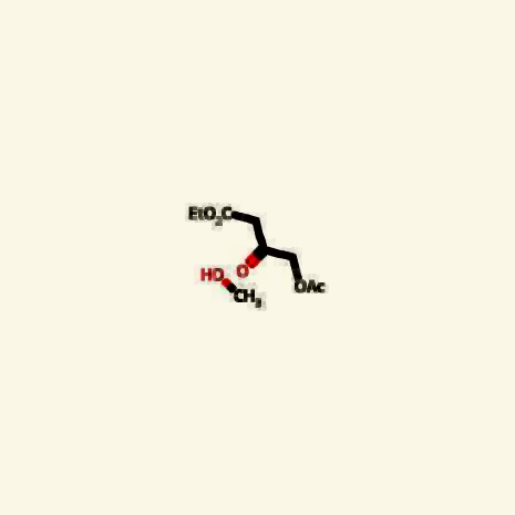 CCOC(=O)CC(=O)COC(C)=O.CO